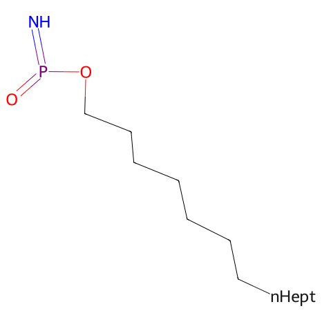 CCCCCCCCCCCCCCOP(=N)=O